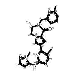 Cc1cccc(CN2C(=O)c3cc(-c4nc(Nc5ccnn5C)ncc4C)cn3C[C@@H]2C)n1